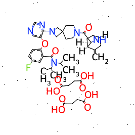 C=C1C[C@@H]2CC[C@H]1[C@@H](C(=O)N1CCC3(CC1)CN(c1ncncc1Oc1ccc(F)cc1C(=O)N(C(C)C)C(C)C)C3)N2.O=C(O)CCC(=O)O.O=C(O)CCC(=O)O